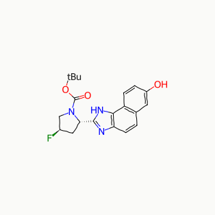 CC(C)(C)OC(=O)N1C[C@H](F)C[C@H]1c1nc2ccc3cc(O)ccc3c2[nH]1